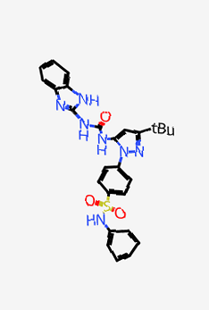 CC(C)(C)c1cc(NC(=O)Nc2nc3ccccc3[nH]2)n(-c2ccc(S(=O)(=O)Nc3ccccc3)cc2)n1